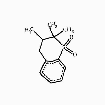 CC1Cc2ccccc2S(=O)(=O)C1(C)C